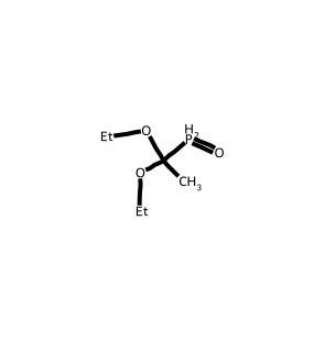 CCOC(C)(OCC)[PH2]=O